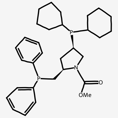 COC(=O)N1C[C@H](P(C2CCCCC2)C2CCCCC2)C[C@@H]1CP(c1ccccc1)c1ccccc1